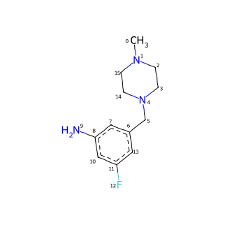 CN1CCN(Cc2cc(N)cc(F)c2)CC1